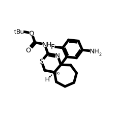 CC(C)(C)OC(=O)NC1=NC2(c3cc(N)ccc3F)CCCCC[C@H]2CS1